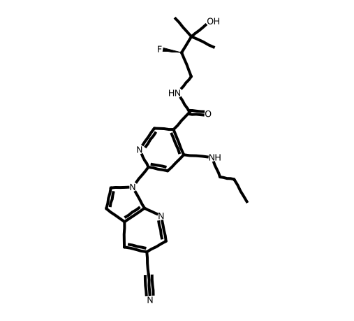 CCCNc1cc(-n2ccc3cc(C#N)cnc32)ncc1C(=O)NC[C@@H](F)C(C)(C)O